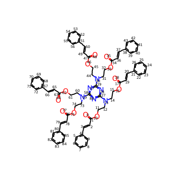 O=C(C=Cc1ccccc1)OCCN(CCOC(=O)C=Cc1ccccc1)c1nc(N(CCOC(=O)C=Cc2ccccc2)CCOC(=O)C=Cc2ccccc2)nc(N(CCOC(=O)C=Cc2ccccc2)CCOC(=O)C=Cc2ccccc2)n1